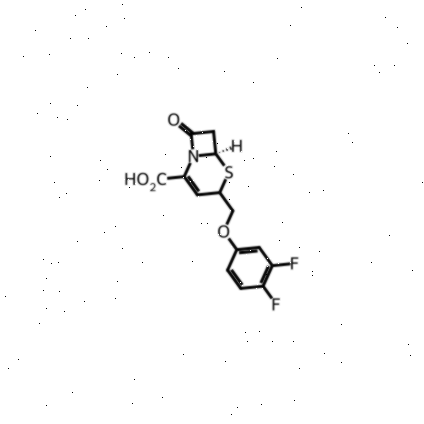 O=C(O)C1=CC(COc2ccc(F)c(F)c2)S[C@@H]2CC(=O)N12